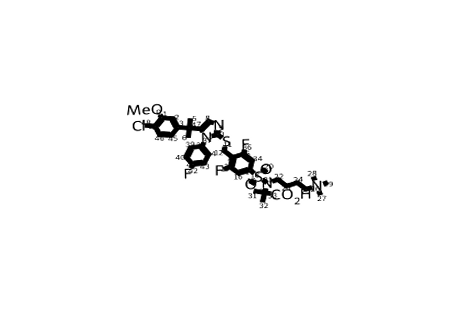 COc1cc(C(C)(C)c2cnc(SCc3c(F)cc(S(=O)(=O)N(CCCC[N+](C)(C)C)C(C)(C)C(=O)O)cc3F)n2-c2ccc(F)cc2)ccc1Cl